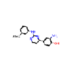 COc1cccc(Nc2nccc(-c3ccc(O)c(N)c3)n2)c1